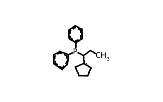 CCC([C]1CCCC1)P(c1ccccc1)c1ccccc1